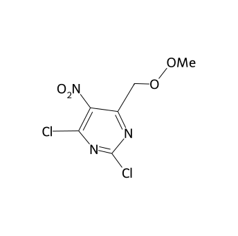 COOCc1nc(Cl)nc(Cl)c1[N+](=O)[O-]